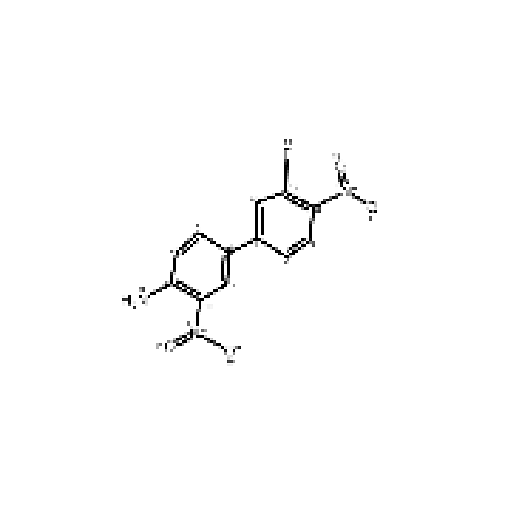 Nc1ccc(-c2ccc([N+](=O)[O-])c(F)c2)cc1[N+](=O)[O-]